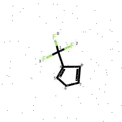 FC(F)(F)C1=[C]CC=C1